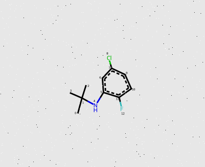 CC(C)(C)Nc1cc(Cl)ccc1F